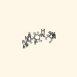 Cc1nnsc1CNc1ccc(-c2cc(C(F)(F)F)nn2C)c(F)c1